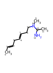 CC=CCC=CCCN(C)C(C)N